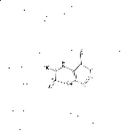 O=C1CC=CC2=C1N[CH]([K])C(=O)N2